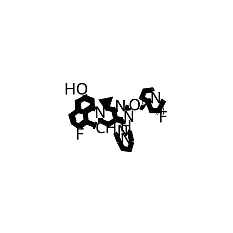 C#Cc1c(F)ccc2cc(O)cc(N3CCc4c(N5CC6CCC(C5)N6)nc(OC[C@@]56CCCN5C[C@H](F)C6)nc4C34CC4)c12